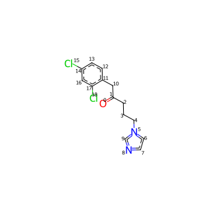 O=C(CCCn1ccnc1)Cc1ccc(Cl)cc1Cl